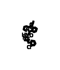 CCOC(=O)C1CCCCN1C(C(=O)Nc1ncc(Cc2ccccc2Cl)s1)c1ccccc1